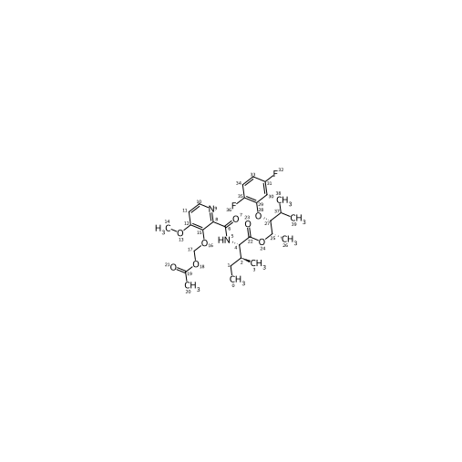 CC[C@H](C)[C@H](NC(=O)c1nccc(OC)c1OCOC(C)=O)C(=O)O[C@@H](C)[C@H](Oc1cc(F)ccc1F)C(C)C